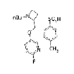 CCCCN1CC[C@H]1COc1ccc(F)nc1.Cc1ccc(S(=O)(=O)O)cc1